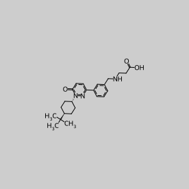 CC(C)(C)[C@H]1CC[C@H](n2nc(-c3cccc(CNCCC(=O)O)c3)ccc2=O)CC1